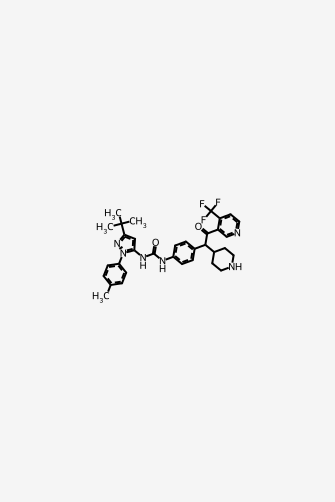 Cc1ccc(-n2nc(C(C)(C)C)cc2NC(=O)Nc2ccc(C(C(=O)c3cnccc3C(F)(F)F)C3CCNCC3)cc2)cc1